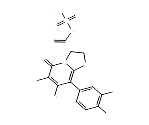 CCCCCCCc1c(-c2ccc(F)c(F)c2)c2n(c(=O)c1Br)[C@H](C(=O)NS(C)(=O)=O)CS2